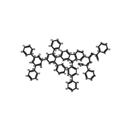 C=C(/N=C(\N=C(/N)c1ccccc1)c1ccc2c3ccc(-c4c(-c5ccccc5)cc(-c5nc(-c6ccccc6)nc(-c6ccccc6)n5)cc4-c4ccccc4)cc3n(-c3ccc(-c4ccccc4)cc3)c2c1)c1ccccc1